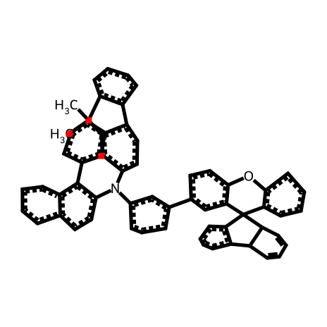 CC1(C)c2ccccc2-c2ccc(N(c3cccc(-c4ccc5c(c4)C4(c6ccccc6O5)c5ccccc5C5C=CC=CC54)c3)c3ccc4ccccc4c3-c3ccccc3)cc21